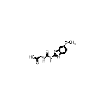 COc1ccc2nc(NC(=O)NCC(=O)O)sc2c1